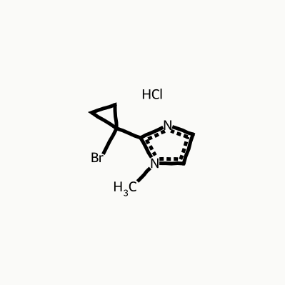 Cl.Cn1ccnc1C1(Br)CC1